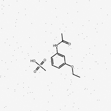 CCOc1cccc(NC(C)=O)c1.CS(=O)(=O)O